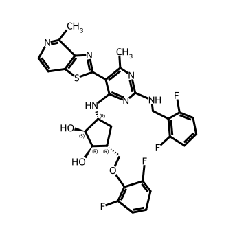 Cc1nc(NCc2c(F)cccc2F)nc(N[C@@H]2C[C@H](COc3c(F)cccc3F)[C@@H](O)[C@H]2O)c1-c1nc2c(C)nccc2s1